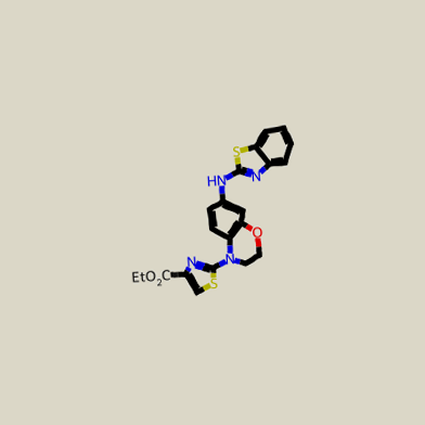 CCOC(=O)c1csc(N2CCOc3cc(Nc4nc5ccccc5s4)ccc32)n1